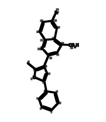 Cc1oc(-c2ccccc2)cc1-c1cc(C(=O)O)c2cc(Br)ccc2n1